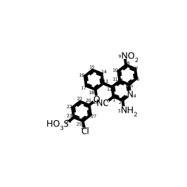 N#Cc1c(N)nc2ccc([N+](=O)[O-])cc2c1-c1ccccc1Oc1ccc(S(=O)(=O)O)c(Cl)c1